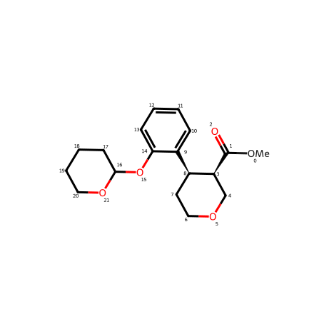 COC(=O)[C@H]1COCC[C@H]1c1ccccc1OC1CCCCO1